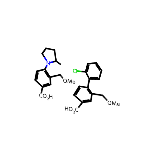 COCc1cc(C(=O)O)ccc1-c1ccccc1Cl.COCc1cc(C(=O)O)ccc1N1CCCC1C